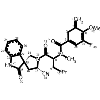 C=C1CC(C(=O)N(C)[C@@H](CC(C)C)C(=O)N2C[C@]3(C[C@H]2C#N)C(=O)Nc2ccccc23)=CC(F)=C1OC